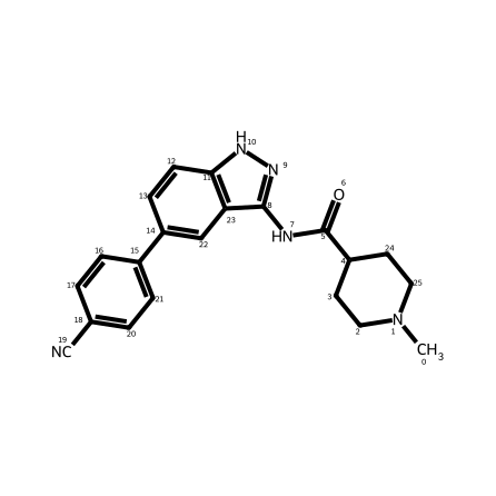 CN1CCC(C(=O)Nc2n[nH]c3ccc(-c4ccc(C#N)cc4)cc23)CC1